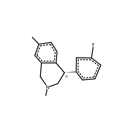 Cc1ccc2c(c1)CN(C)C[C@H]2c1cccc(F)c1